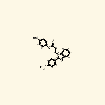 CC(C)(C)c1ccc(OC(=O)CCn2c(-c3ccc(C(=O)O)cc3)nc3ccccc32)cc1